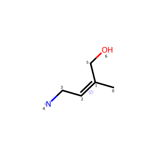 C/C(=C/C[N])CO